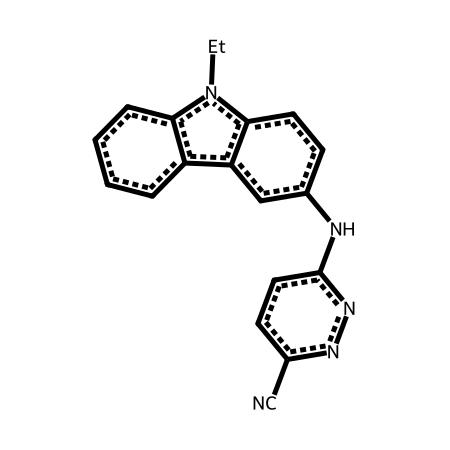 CCn1c2ccccc2c2cc(Nc3ccc(C#N)nn3)ccc21